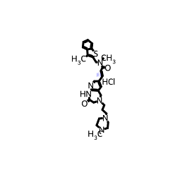 Cc1c(CN(C)C(=O)/C=C/c2cnc3c(c2)CN(CCCN2CCN(C)CC2)CC(=O)N3)sc2ccccc12.Cl